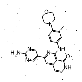 Cc1cc(Nc2nc(-c3cnc(N)nc3)cc3cc[nH]c(=O)c23)ccc1N1CCOCC1